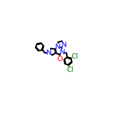 O=C1C2=C(CN(Cc3ccccc3)C2)N2CCN=C2N1Cc1ccc(Cl)cc1Cl